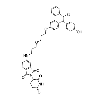 CC/C(=C(\c1ccc(O)cc1)c1ccc(OCCCOCCCNc2ccc3c(c2)C(=O)N(C2CCC(=O)NC2=O)C3=O)cc1)c1ccccc1